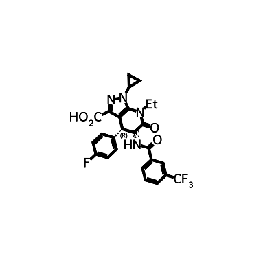 CCN1C(=O)[C@H](NC(=O)c2cccc(C(F)(F)F)c2)[C@H](c2ccc(F)cc2)c2c(C(=O)O)nn(C3CC3)c21